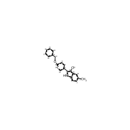 Cc1ccc2[nH]c(-c3ccc(OCc4ccccc4)cc3)c(Cl)c2c1